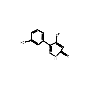 CCCc1cc(=O)[nH]nc1-c1cccc(C#N)c1